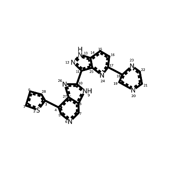 c1csc(-c2cncc3[nH]c(-c4n[nH]c5ccc(-c6cnccn6)nc45)nc23)c1